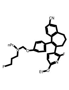 CCCN(CCCF)COc1ccc(C2=C(c3ccc(OCC)nc3F)CCCc3cc(C#N)ccc32)cc1